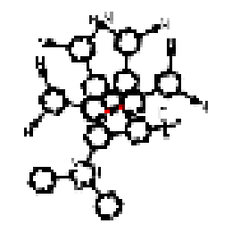 N#Cc1cc(C#N)cc(-c2ccc3c(c2)c2cc(-c4cc(C#N)cc(C#N)c4)ccc2n3-c2ccc(-c3nc(-c4ccccc4)nc(-c4ccccc4)n3)cc2-c2ccc(C(F)(F)F)cc2-n2c3ccc(-c4cc(C#N)cc(C#N)c4)cc3c3cc(-c4cc(C#N)cc(C#N)c4)ccc32)c1